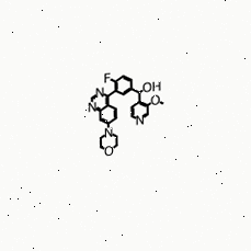 COc1cnccc1C(O)c1ccc(F)c(-c2ncnc3cc(N4CCOCC4)ccc23)c1